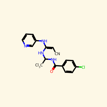 N#CC=C(Nc1cccnc1)NC(NC(=O)c1ccc(Cl)cc1)C(Cl)(Cl)Cl